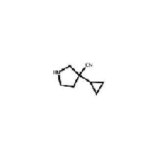 N#CC1(C2CC2)CCNC1